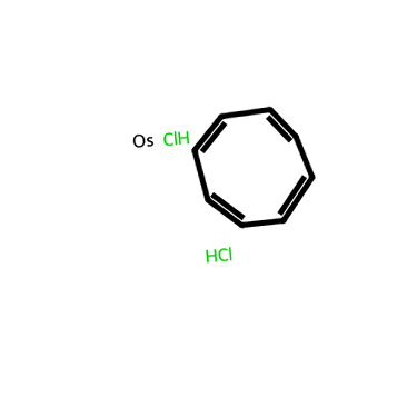 C1=C\C=C/C=C\C=C/1.Cl.Cl.[Os]